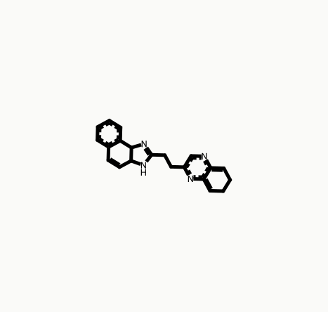 C1=CC2NC(CCc3cnc4c(n3)=CCCC=4)=NC2c2ccccc21